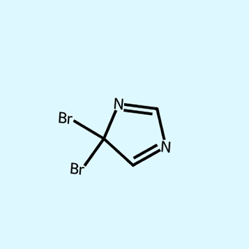 BrC1(Br)C=NC=N1